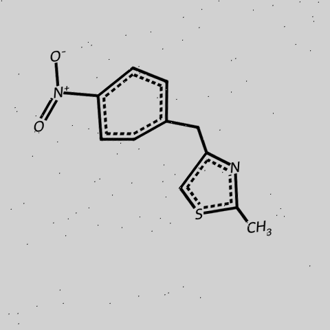 Cc1nc(Cc2ccc([N+](=O)[O-])cc2)cs1